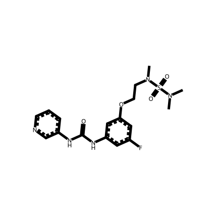 CN(C)S(=O)(=O)N(C)CCOc1cc(F)cc(NC(=O)Nc2cccnc2)c1